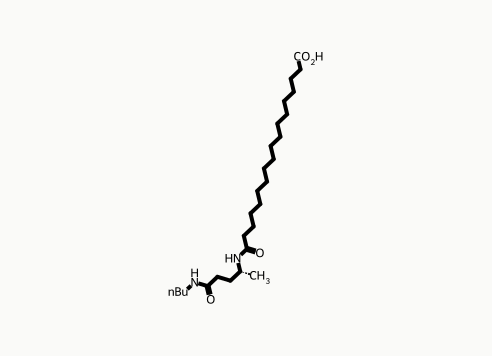 CCCCNC(=O)CC[C@@H](C)NC(=O)CCCCCCCCCCCCCCCCC(=O)O